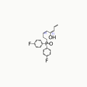 C=C/C=C(O)\C=C/CCP(=O)(c1ccc(F)cc1)c1ccc(F)cc1